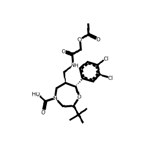 CC(=O)OCC(=O)NC[C@@H]1CN(C(=O)O)CC(C(C)(C)C)O[C@H]1c1ccc(Cl)c(Cl)c1